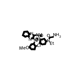 CCN(C(=O)CN)c1cccc(S(=O)(=O)Nc2nc3ccccc3nc2Nc2cc(OC)ccc2Cl)c1